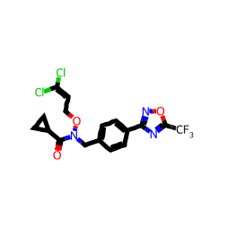 O=C(C1CC1)N(Cc1ccc(-c2noc(C(F)(F)F)n2)cc1)OCC=C(Cl)Cl